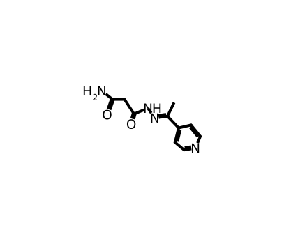 CC(=NNC(=O)CC(N)=O)c1ccncc1